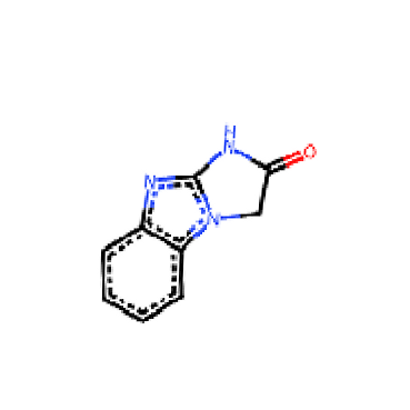 O=C1Cn2c(nc3ccccc32)N1